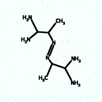 CC(N=NC(C)C(N)N)C(N)N